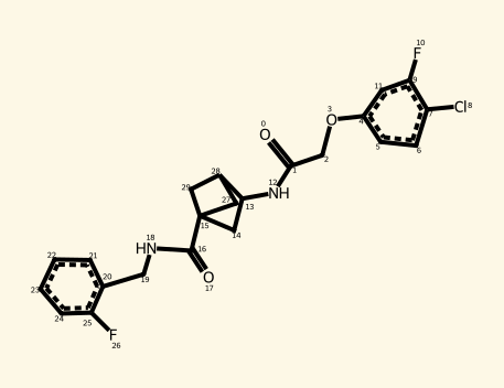 O=C(COc1ccc(Cl)c(F)c1)NC1CC2(C(=O)NCc3ccccc3F)CC1C2